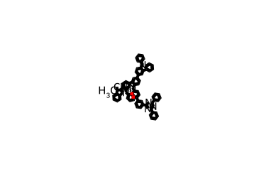 CC1(C)c2ccccc2-c2c1c1ccc3c4cc(-c5ccc6c(c5)c5ccccc5n6-c5ccccc5)ccc4n(-c4ccc(-c5cccc(-c6nc(-c7ccccc7)nc(-c7ccccc7)n6)c5)cc4)c3c1n2-c1ccccc1